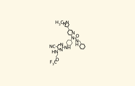 Cn1cc(-c2ccc(N(C(=O)NCc3ccccc3)[C@H]3CC[C@H](Nc4ncc(C#N)c(NCCOC(F)(F)F)n4)CC3)nc2)cn1